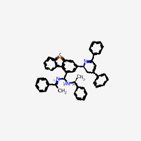 C/C(=N\C(N[C@@H](C)c1ccccc1)c1cc(C2CC(c3ccccc3)=CC(c3ccccc3)=N2)cc2sc3ccccc3c12)c1ccccc1